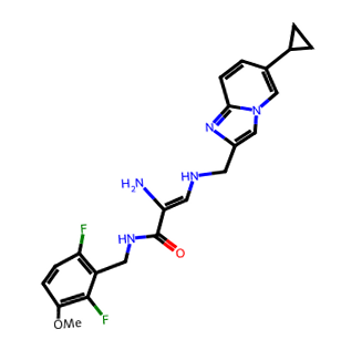 COc1ccc(F)c(CNC(=O)/C(N)=C/NCc2cn3cc(C4CC4)ccc3n2)c1F